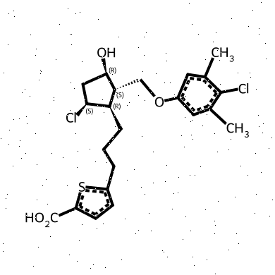 Cc1cc(OC[C@@H]2[C@@H](CCCc3ccc(C(=O)O)s3)[C@@H](Cl)C[C@H]2O)cc(C)c1Cl